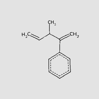 C=CC(C)C(=C)c1ccccc1